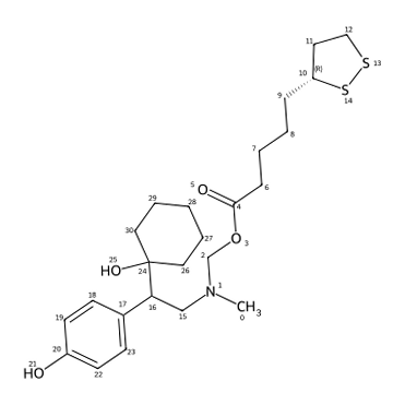 CN(COC(=O)CCCC[C@@H]1CCSS1)CC(c1ccc(O)cc1)C1(O)CCCCC1